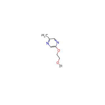 CCOCCOc1cnc(C)cn1